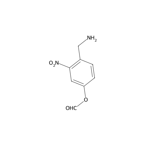 NCc1ccc(OC=O)cc1[N+](=O)[O-]